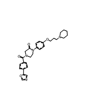 O=C(c1ccc(-c2cnco2)cc1)N1CCN(c2ccc(OCCCN3CCCCC3)cc2)C(=O)C1